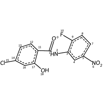 O=C(Nc1cc([N+](=O)[O-])ccc1F)c1ccc(Cl)cc1O